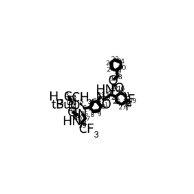 CC(C)(C)[Si](C)(C)OC[C@@H](c1ccc2oc([C@@H](NC(=O)OCc3ccccc3)C3CCC(F)(F)CC3)nc2c1)N1C[C@@H](C(F)(F)F)NC1=O